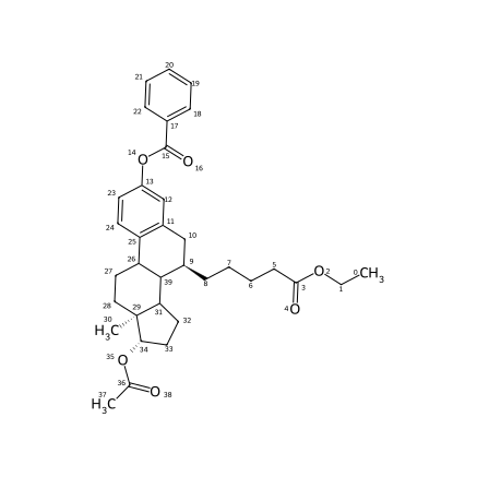 CCOC(=O)CCCC[C@@H]1Cc2cc(OC(=O)c3ccccc3)ccc2C2CC[C@@]3(C)C(CC[C@@H]3OC(C)=O)C21